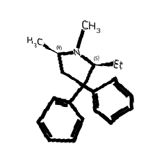 CC[C@@H]1N(C)[C@H](C)CC1(c1ccccc1)c1ccccc1